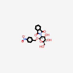 O=C1c2ccccc2C(=O)N1[C@@H]1[C@@H](OCc2ccc([N+](=O)[O-])cc2)O[C@H](CO)[C@@H](O)[C@@H]1O